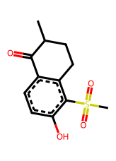 CC1CCc2c(ccc(O)c2S(C)(=O)=O)C1=O